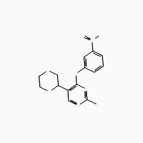 Cc1ncc(C2CNCCO2)c(Nc2cccc([N+](=O)[O-])c2)n1